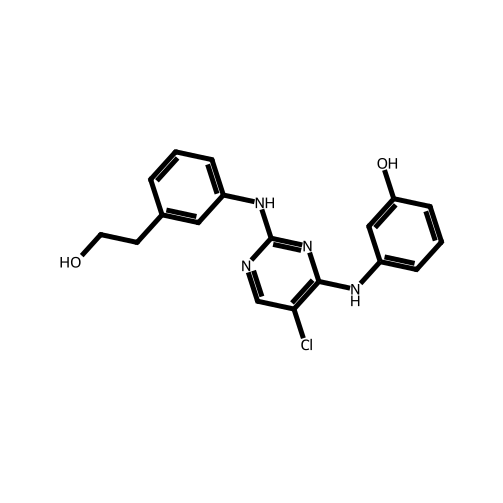 OCCc1cccc(Nc2ncc(Cl)c(Nc3cccc(O)c3)n2)c1